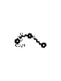 O=C(O)c1ccc2nc(C(=O)CCc3ccc(OCCCCCc4ccccc4)cc3)oc2c1